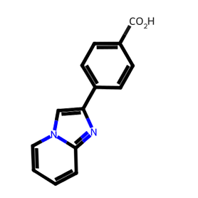 O=C(O)c1ccc(-c2cn3ccccc3n2)cc1